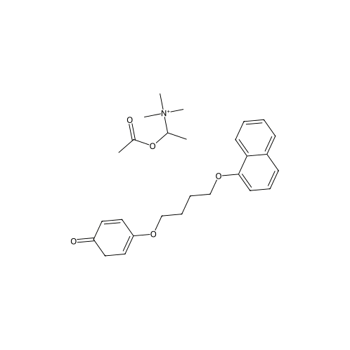 CC(=O)OC(C)[N+](C)(C)C.O=C1C=CC(OCCCCOc2cccc3ccccc23)=CC1